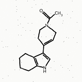 CC(=O)N1CC=C(c2c[nH]c3c2CCCC3)CC1